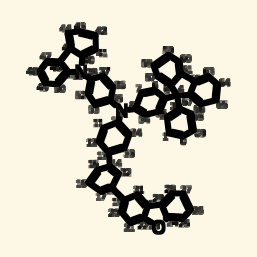 c1ccc(C2(c3ccc(N(c4ccc(-c5cccc(-c6ccc7oc8ccccc8c7c6)c5)cc4)c4ccc(-n5c6ccccc6c6ccccc65)cc4)cc3)c3ccccc3-c3ccccc32)cc1